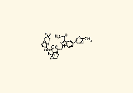 CC(=O)c1nn(CC(=O)N2CCC3C[C@@H]3[C@H]2C(=O)Nc2ccn(CC(F)(F)F)n2)c2ccc(-c3cnc(C)nc3)cc12